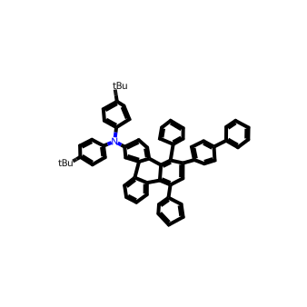 CC(C)(C)c1ccc(N(c2ccc(C(C)(C)C)cc2)c2ccc3c(c2)c2ccccc2c2c(-c4ccccc4)cc(-c4ccc(-c5ccccc5)cc4)c(-c4ccccc4)c32)cc1